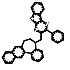 c1ccc(-c2nc3c(nc2CC2CCc4cc5ccccc5cc4-c4ccccc42)sc2ccccc23)cc1